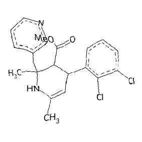 COC(=O)C1C(c2cccc(Cl)c2Cl)C=C(C)NC1(C)c1cccnc1